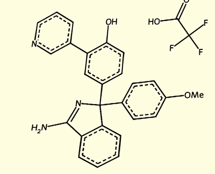 COc1ccc(C2(c3ccc(O)c(-c4cccnc4)c3)N=C(N)c3ccccc32)cc1.O=C(O)C(F)(F)F